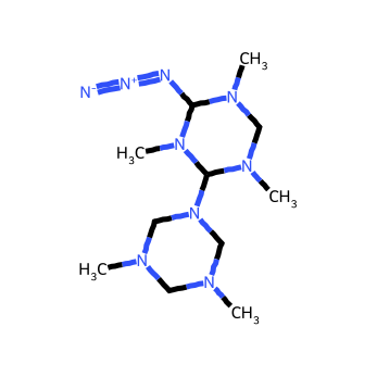 CN1CN(C)CN(C2N(C)CN(C)C(N=[N+]=[N-])N2C)C1